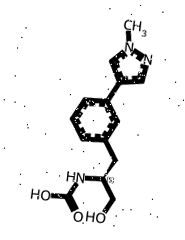 Cn1cc(-c2cccc(C[C@@H](CO)NC(=O)O)c2)cn1